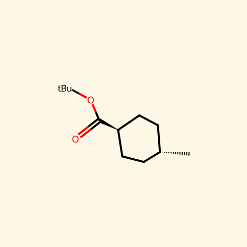 CC(C)(C)OC(=O)[C@H]1CC[C@H](C)CC1